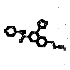 NN=Cc1ccc2cc(C(=O)Nc3ccncc3)cc(-c3ccoc3)c2c1